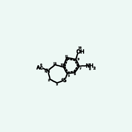 CC(=O)N1CCSc2cc(N)c(O)cc2C1